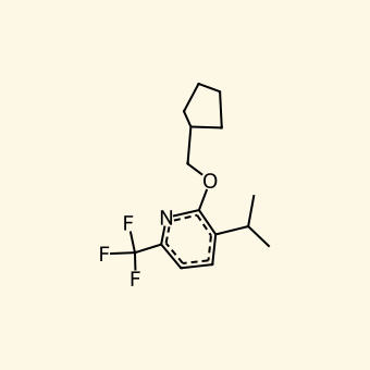 CC(C)c1ccc(C(F)(F)F)nc1OCC1CCCC1